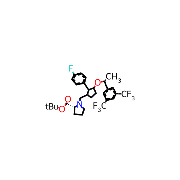 C[C@H](OC1CCC(CN2CCC[C@@H]2C(=O)OC(C)(C)C)C1c1ccc(F)cc1)c1cc(C(F)(F)F)cc(C(F)(F)F)c1